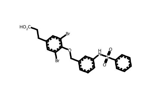 O=C(O)CCc1cc(Br)c(OCc2cccc(NS(=O)(=O)c3ccccc3)c2)c(Br)c1